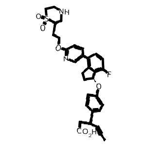 CC#CC(CC(=O)O)c1ccc(O[C@@H]2CCc3c(-c4ccc(OCCC5CNCCS5(=O)=O)nc4)ccc(F)c32)cc1